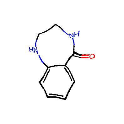 O=C1NC[CH]Nc2ccccc21